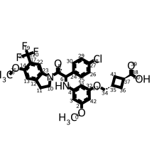 COc1cc(NC(C(=O)N2CCc3cc(OC)c(C(F)(F)F)cc32)c2ccc(Cl)cc2)cc(OC[C@H]2C[C@H](C(=O)O)C2)c1